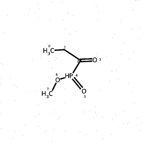 CCC(=O)[PH](=O)OC